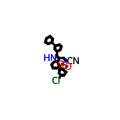 N#C/C(=C/c1c(-c2cccc(-c3ccccc3)c2)[nH]c2ccccc12)S(=O)(=O)c1ccc(Cl)cc1